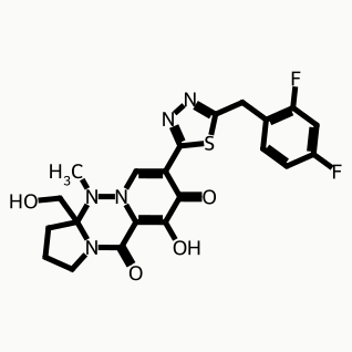 CN1n2cc(-c3nnc(Cc4ccc(F)cc4F)s3)c(=O)c(O)c2C(=O)N2CCCC21CO